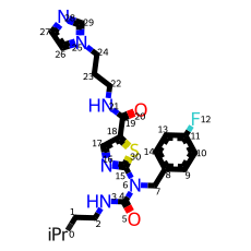 CC(C)CCNC(=O)N(Cc1ccc(F)cc1)c1ncc(C(=O)NCCCn2ccnc2)s1